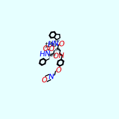 CC(C)(C)OC(=O)N[C@@H](Cc1ccccc1)[C@@H](O)C[C@@H](CC=Cc1ccc(OCCN2CCOCC2)cc1)C(=O)N[C@H]1CCc2ccccc21